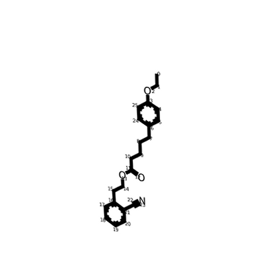 CCOc1ccc(CCCCC(=O)OCCc2ccccc2C#N)cc1